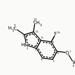 Cc1[nH]c2ccc(OC(C)C)c(F)c2c1C